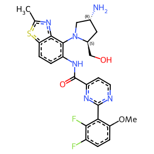 COc1ccc(F)c(F)c1-c1nccc(C(=O)Nc2ccc3sc(C)nc3c2N2C[C@H](N)C[C@H]2CO)n1